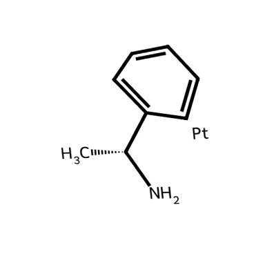 C[C@@H](N)c1ccccc1.[Pt]